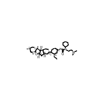 CC[C@@H]1C[C@H](NC(=O)N(CCN(C)C)C2CCCCC2)CC[C@]1(C)[C@H]1CC[C@@]2(C)[C@H](C1)C[C@@H]1O[C@]3(CC[C@H](C)CO3)[C@@H](C)[C@@H]12